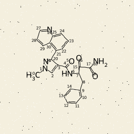 Cn1cc(C(=O)NC(Cc2ccccc2)C(=O)C(N)=O)c(-c2cccc3ncccc23)n1